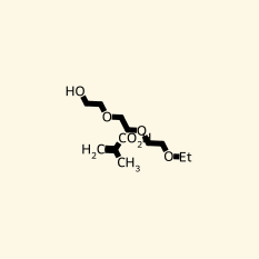 C=C(C)C(=O)O.CCOCCOCCOCCO